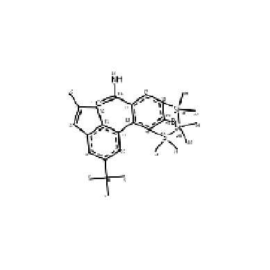 CC1=Cc2cc(C(C)(C)C)cc(-c3c(C([NH])=O)cc4c(Br)c3[Si](C)(C)[Si](C)(C)[Si]4(C)C)c2C1